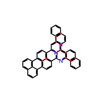 c1ccc(-c2cc(-c3ccc(-c4cccc5cccc(-c6ccc(-c7nc(-c8ccccc8)cc(-c8ccccc8)n7)cc6)c45)cc3)nc(-c3ccccc3)n2)cc1